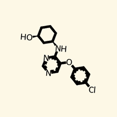 O[C@H]1CCC[C@@H](Nc2ncncc2Oc2ccc(Cl)cc2)C1